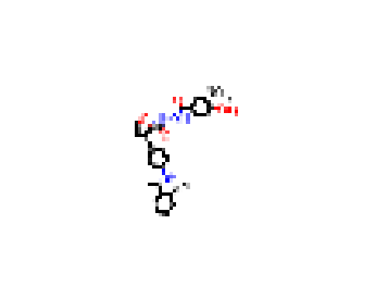 CC(C)c1ccccc1C(C)Nc1ccc(-c2ccoc2C(=O)NNC(=O)c2ccc(O)c([N+](=O)[O-])c2)cc1